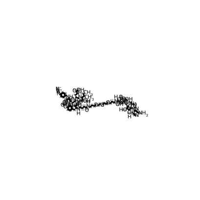 CCC(C)[C@H](NC(=O)[C@H](CCC(=O)O)NC(=O)[C@H](CCC(=O)Nc1ccc(N=[N+]=[N-])cc1)NC(=O)[C@H](Cc1ccc(OP(=O)(O)O)cc1)NC(=O)CCC(=O)NCCCOCCOCCOCCCNP(=O)(O)OP(=O)(O)OP(=O)(O)OC[C@H]1O[C@@H](n2c(N=[N+]=[N-])nc3c(N)ncnc32)C(O)C1O)C(=O)O